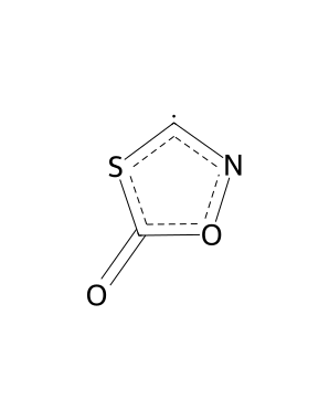 O=c1on[c]s1